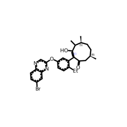 CCc1ccc(Oc2cnc3ccc(Br)cc3n2)cc1/C1=C(\O)C(C)[C@@H](C)CC[C@@H](C)CC1=O